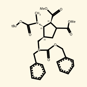 COC(=O)C1C[C@@H](CN(Cc2ccccc2)C(=O)OCc2ccccc2)[C@H](N(C)C(=O)OC(C)(C)C)[C@H]1C(=O)OC